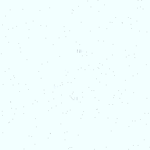 C[CH]C(C)(N)OC(N)=O